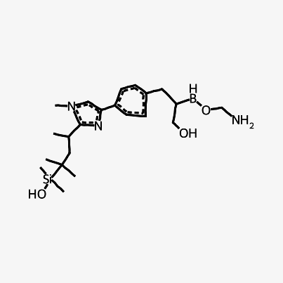 CC(CC(C)(C)[Si](C)(C)O)c1nc(-c2ccc(CC(BOCN)CO)cc2)cn1C